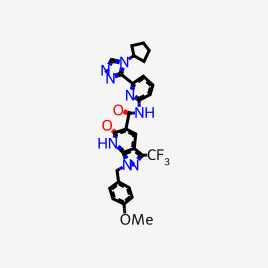 COc1ccc(Cn2nc(C(F)(F)F)c3cc(C(=O)Nc4cccc(-c5nncn5C5CCCC5)n4)c(=O)[nH]c32)cc1